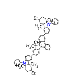 CCC1CCC2(C)N(c3ccccc3)c3ccc(-c4ccc5c(c4)C(C)(C)c4c-5c5ccccc5c5cc(-c6ccc7c(c6)C6(C)CC(CC)CCC6(C)N7c6ccccc6)ccc45)cc3C2(C)C1